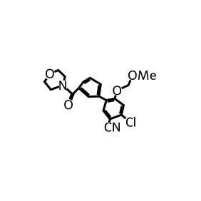 COCOc1cc(Cl)c(C#N)cc1-c1cccc(C(=O)N2CCOCC2)c1